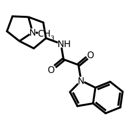 CN1C2CCC1CC(NC(=O)C(=O)n1ccc3ccccc31)C2